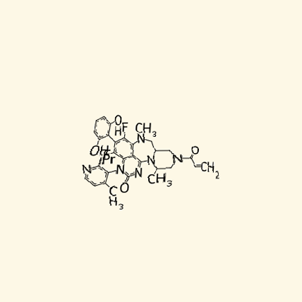 C=CC(=O)N1CC(C)N2c3nc(=O)n(-c4c(C)ccnc4C(C)C)c4c(F)c(-c5c(O)cccc5O)c(F)c(c34)N(C)CC2C1